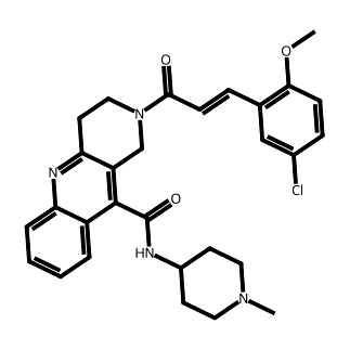 COc1ccc(Cl)cc1C=CC(=O)N1CCc2nc3ccccc3c(C(=O)NC3CCN(C)CC3)c2C1